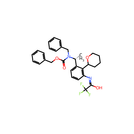 C[C@H](c1cccc(/N=C(/O)C(F)(F)F)c1C1CCCCO1)N(Cc1ccccc1)C(=O)OCc1ccccc1